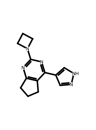 c1n[nH]cc1-c1nc(N2CCC2)nc2c1CCC2